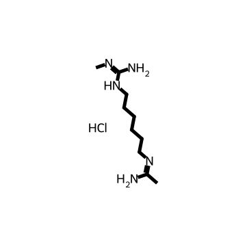 CN=C(N)NCCCCCCN=C(C)N.Cl